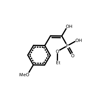 CCOP(=O)(O)C(O)=Cc1ccc(OC)cc1